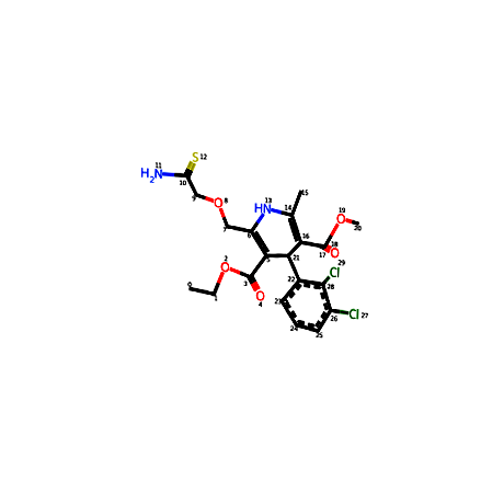 CCOC(=O)C1=C(COCC(N)=S)NC(C)=C(C(=O)OC)C1c1cccc(Cl)c1Cl